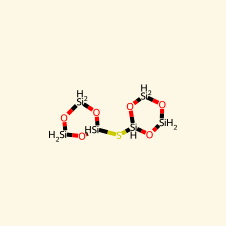 O1[SiH2]O[SiH](S[SiH]2O[SiH2]O[SiH2]O2)O[SiH2]1